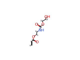 C=CC(=O)OCCNC(=O)OCCO